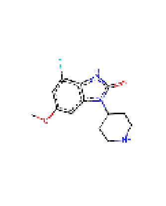 COc1cc(F)c2[nH]c(=O)n(C3CCNCC3)c2c1